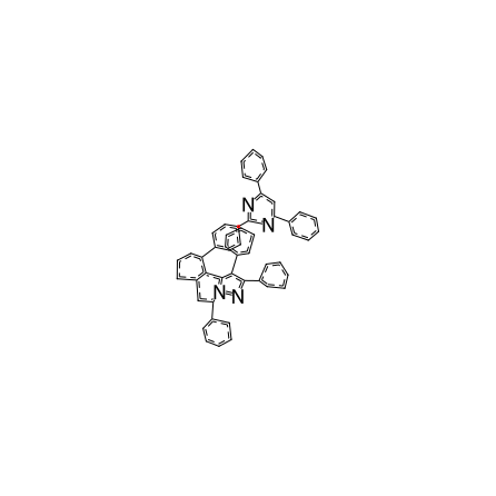 c1ccc(-c2cc(-c3ccccc3)nc(-c3ccc(-c4cccc5cc(-c6ccccc6)n6nc(-c7ccccc7)c(-c7ccccc7)c6c45)cc3)n2)cc1